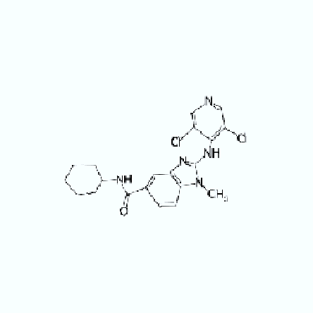 Cn1c(Nc2c(Cl)cncc2Cl)nc2cc(C(=O)NC3CCCCC3)ccc21